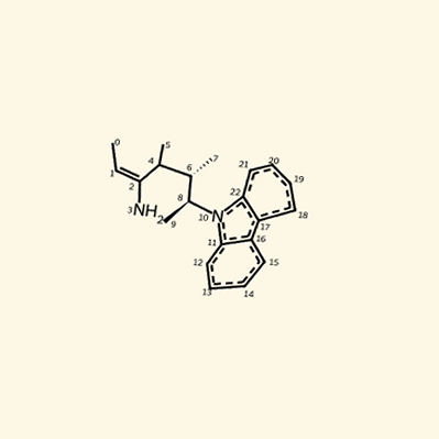 C/C=C(/N)C(C)[C@H](C)[C@H](C)n1c2ccccc2c2ccccc21